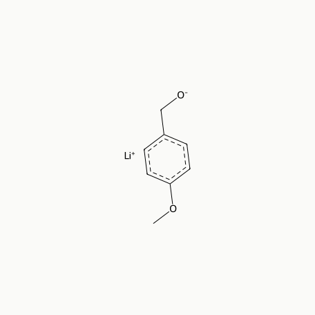 COc1ccc(C[O-])cc1.[Li+]